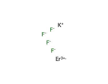 [Er+3].[F-].[F-].[F-].[F-].[K+]